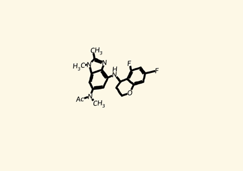 CC(=O)N(C)c1cc(NC2CCOc3cc(F)cc(F)c32)c2nc(C)n(C)c2c1